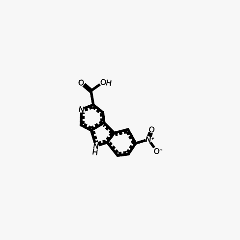 O=C(O)c1cc2c(cn1)[nH]c1ccc([N+](=O)[O-])cc12